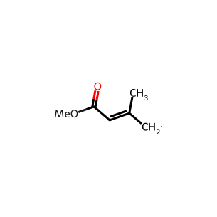 [CH2]C(C)=CC(=O)OC